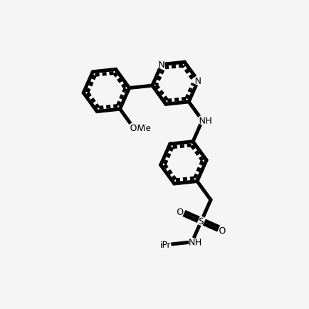 COc1ccccc1-c1cc(Nc2cccc(CS(=O)(=O)NC(C)C)c2)ncn1